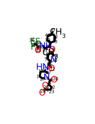 Cc1ccc([C@@H](Oc2ccc(C(=O)NC3CCCN(C(=O)C4CCC(=O)O4)C3)nc2)C(C)NC(=O)C(F)(F)F)cc1